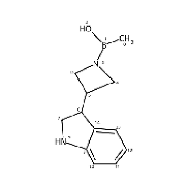 CB(O)N1CC(C2CNc3ccccc32)C1